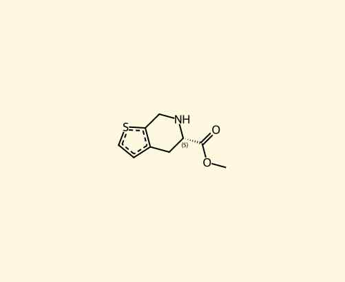 COC(=O)[C@@H]1Cc2ccsc2CN1